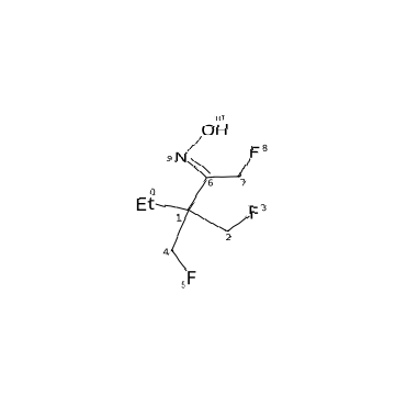 CCC(CF)(CF)C(CF)=NO